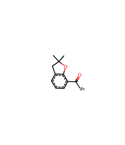 CC(C)C(=O)c1cccc2c1OC(C)(C)C2